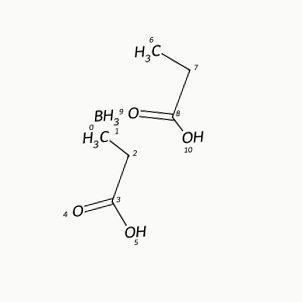 B.CCC(=O)O.CCC(=O)O